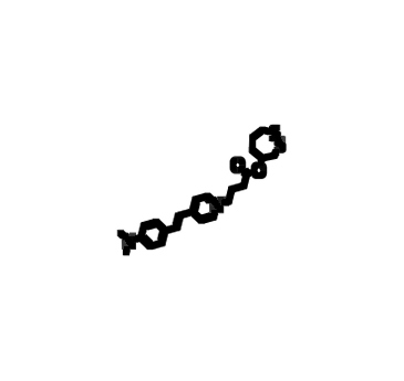 CN(C)c1ccc(/C=C/c2cc[n+](CCCC(=O)OC3CCCSSC3)cc2)cc1